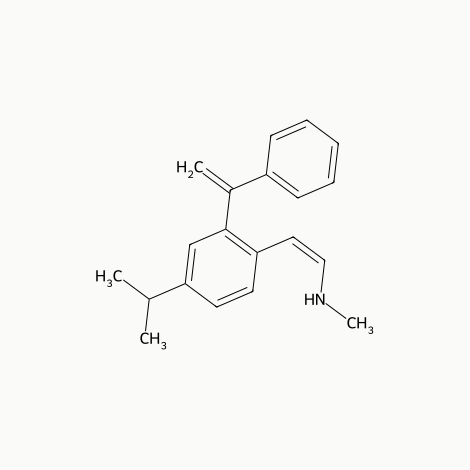 C=C(c1ccccc1)c1cc(C(C)C)ccc1/C=C\NC